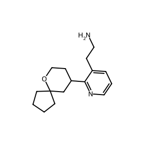 NCCc1cccnc1C1CCOC2(CCCC2)C1